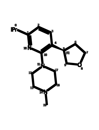 CC(C)c1ccc([C@H]2CCOC2)c(N2CCN(C)CC2)n1